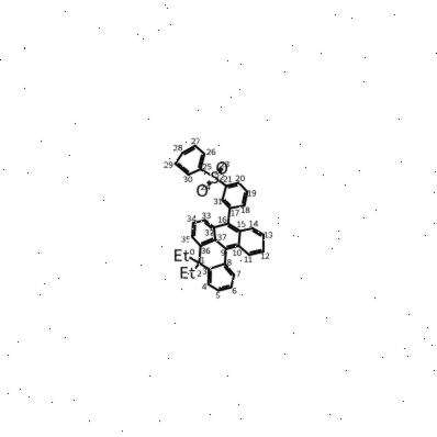 CCC1(CC)c2ccccc2-c2c3ccccc3c(-c3cccc(S(=O)(=O)c4ccccc4)c3)c3cccc1c23